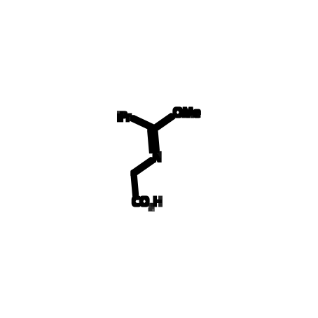 COC(=NCC(=O)O)C(C)C